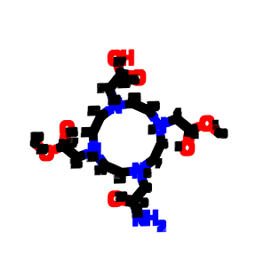 COC(=O)CN1CCN(CC(N)=O)CCN(CC(=O)OC)CCN(CC(=O)O)CC1